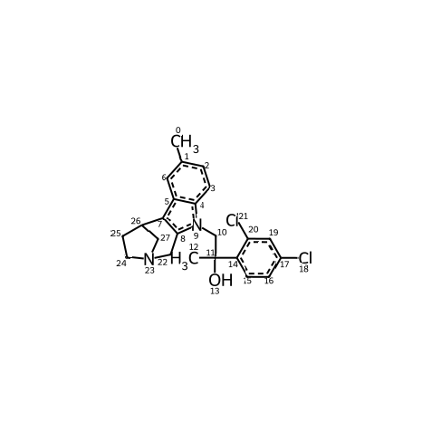 Cc1ccc2c(c1)c1c(n2CC(C)(O)c2ccc(Cl)cc2Cl)CN2CCC1C2